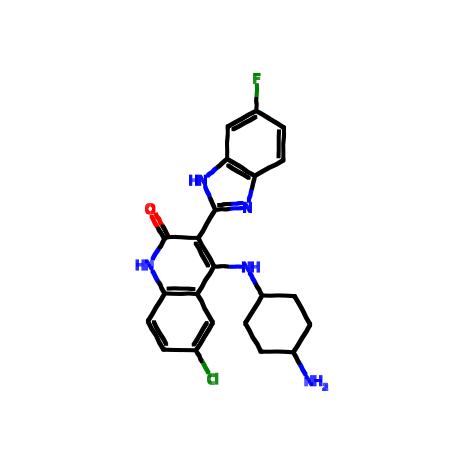 NC1CCC(Nc2c(-c3nc4ccc(F)cc4[nH]3)c(=O)[nH]c3ccc(Cl)cc23)CC1